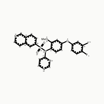 COc1cc(Oc2ccc(F)c(F)c2)ccc1N(c1ccncn1)S(=O)(=O)c1ccc2cnccc2c1